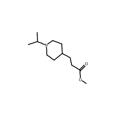 COC(=O)CCC1CCN(C(C)C)CC1